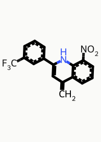 C=C1C=C(c2cccc(C(F)(F)F)c2)Nc2c1cccc2[N+](=O)[O-]